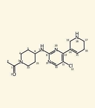 CC(=O)N1CCC(Nc2ncc(Cl)c(C3=CCCNC3)n2)CC1